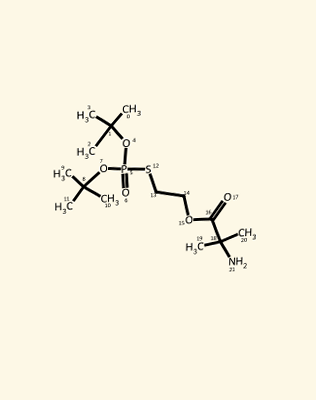 CC(C)(C)OP(=O)(OC(C)(C)C)SCCOC(=O)C(C)(C)N